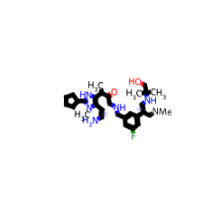 CNC/C(=C\NC(C)(C)CO)c1cc(F)cc(CNCC(=O)C(C)C2=C(/C=C\N)N(C)C(C3CCCC3)N2)c1